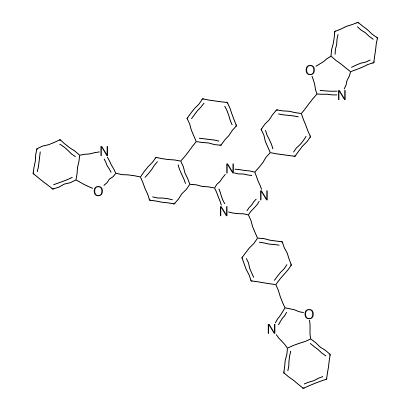 c1ccc(-c2cc(-c3nc4ccccc4o3)ccc2-c2nc(-c3ccc(-c4nc5ccccc5o4)cc3)nc(-c3ccc(-c4nc5ccccc5o4)cc3)n2)cc1